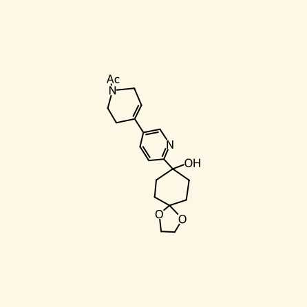 CC(=O)N1CC=C(c2ccc(C3(O)CCC4(CC3)OCCO4)nc2)CC1